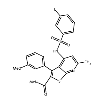 CNC(=O)c1sc2nc(C)cc(NS(=O)(=O)c3cccc(I)c3)c2c1-c1cccc(OC)c1